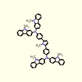 Cn1c(-c2ccc(N(c3ccc4c5ccccc5n(C)c4c3)c3ccc4c5ccccc5n(C)c4c3)cc2)ccc1-c1ccc(N(c2ccc3c4ccccc4n(C)c3c2)c2ccc3c4ccccc4n(C)c3c2)cc1